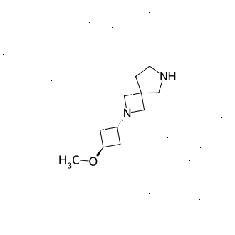 CO[C@H]1C[C@H](N2CC3(CCNC3)C2)C1